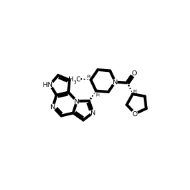 C[C@@H]1CCN(C(=O)[C@@H]2CCOC2)C[C@@H]1c1ncc2cnc3[nH]ccc3n12